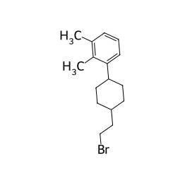 Cc1cccc(C2CCC(CCBr)CC2)c1C